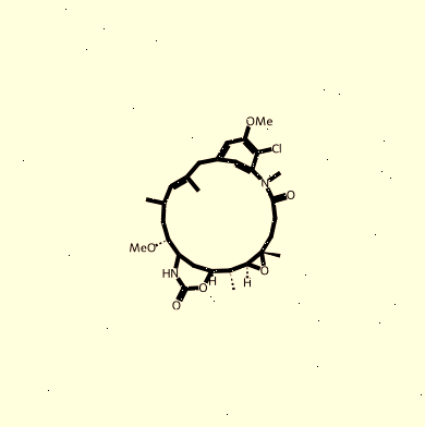 COc1cc2cc(c1Cl)N(C)C(=O)CC[C@]1(C)O[C@H]1[C@H](C)[C@@H]1CC(NC(=O)O1)[C@H](OC)CC(C)/C=C(\C)C2